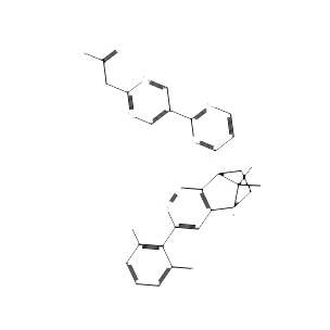 CC1(C)[C@H]2CC[C@]1(c1ccnc(-c3cnc(CC(N)=O)nc3)n1)c1nnc(-c3c(F)cccc3F)cc12